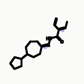 C=C/C(=C\C)C(=O)N/N=C1\CCCC(C2CCCC2)CC1